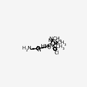 Cc1sc2c(c1C)C(c1ccc(Cl)cc1)=N[C@@H](CC(=O)NCC#Cc1ccc(C#CCN)cn1)c1nnc(C)n1-2